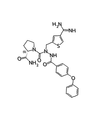 N=C(N)c1csc(CN(NC(=O)c2ccc(Oc3ccccc3)cc2)C(=O)N2CCC[C@H]2C(N)=O)c1